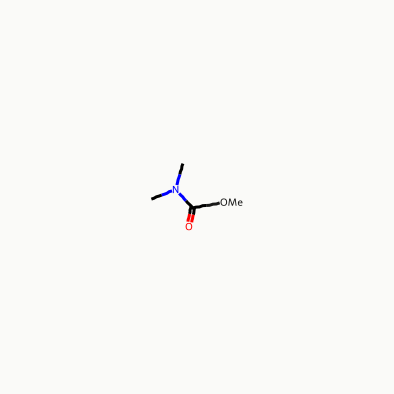 COC(=O)N(C)C